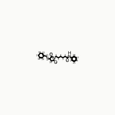 O=C(CCCCCN1C(=O)CC(SCC2=CCCC=C2)C1=O)Nc1ccccc1